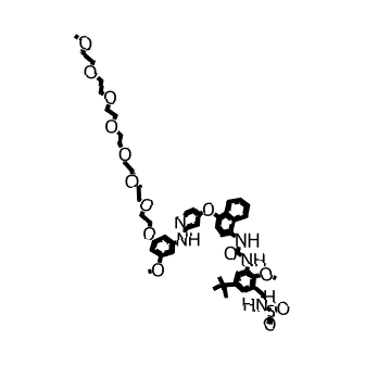 COCCOCCOCCOCCOCCOCCOCCOc1cc(Nc2cc(Oc3ccc(NC(=O)Nc4cc(C(C)(C)C)cc(CN[SH](=O)=O)c4OC)c4ccccc34)ccn2)cc(OC)c1